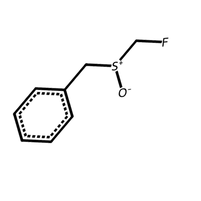 [O-][S+](CF)Cc1ccccc1